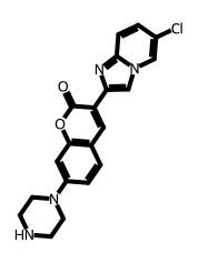 O=c1oc2cc(N3CCNCC3)ccc2cc1-c1cn2cc(Cl)ccc2n1